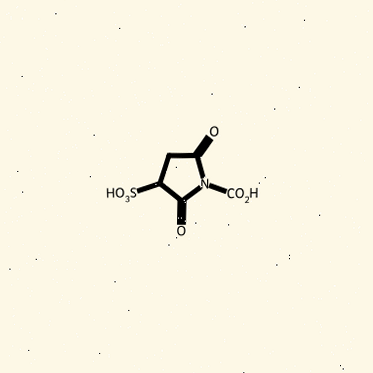 O=C(O)N1C(=O)CC(S(=O)(=O)O)C1=O